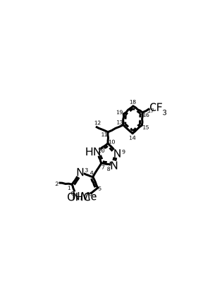 CN/C(C)=N\C(=C/C=O)c1nnc(C(C)c2ccc(C(F)(F)F)cc2)[nH]1